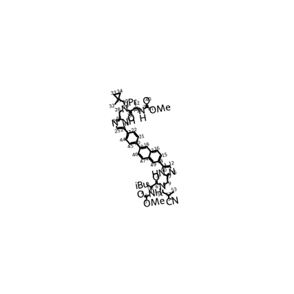 CCC(C)[C@H](NC(=O)OC)C(=O)N(Cc1ncc(-c2ccc3cc(-c4ccc(-c5cnc(CN(CC6(C)CC6)C(=O)[C@@H](NC(=O)OC)C(C)C)[nH]5)cc4)ccc3c2)[nH]1)CC(C)C#N